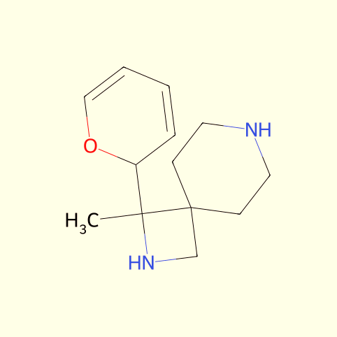 CC1(C2C=CC=CO2)NCC12CCNCC2